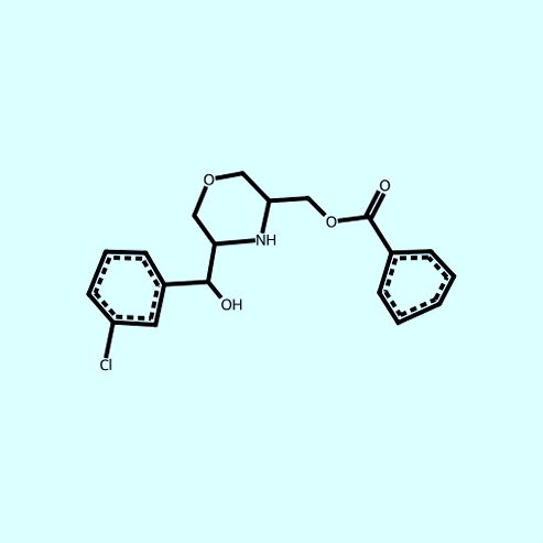 O=C(OCC1COCC(C(O)c2cccc(Cl)c2)N1)c1ccccc1